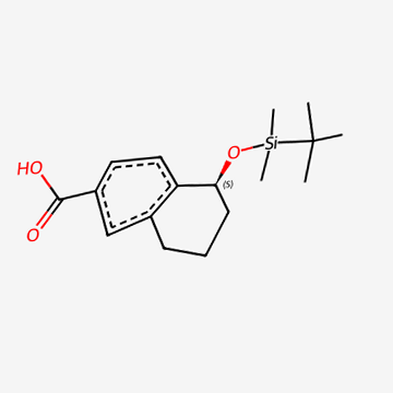 CC(C)(C)[Si](C)(C)O[C@H]1CCCc2cc(C(=O)O)ccc21